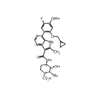 COc1cc(OCC2CC2)c(-c2ncnc3c(C(=O)N[C@@H]4CCN(C(=O)O)C(C(C)(C)C)[C@@H]4O)c(C)[nH]c23)cc1F